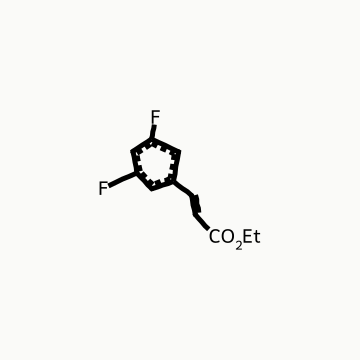 CCOC(=O)C=Cc1cc(F)cc(F)c1